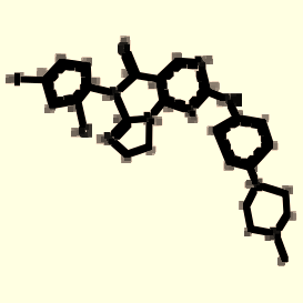 CN1CCN(c2ccc(Nc3ncc4c(n3)N3CCN=C3N(c3ccc(F)cc3Cl)C4=O)cc2)CC1